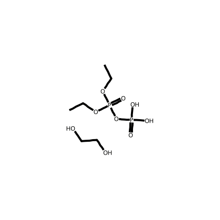 CCOP(=O)(OCC)OP(=O)(O)O.OCCO